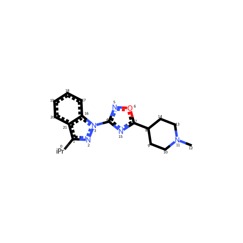 CC(C)c1nn(-c2noc(C3CCN(C)CC3)n2)c2ccccc12